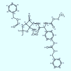 CC1(C)SC2(NC=O)[C@H](NC(=O)C(NC(=O)OCC(Cl)(Cl)Cl)c3ccc(OC(=O)OCc4ccccc4)cc3)C(=O)N2[C@H]1C(=O)OCc1ccccc1